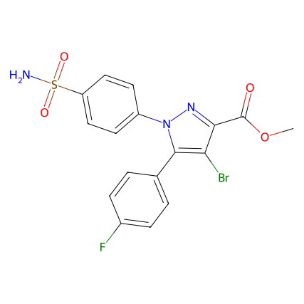 COC(=O)c1nn(-c2ccc(S(N)(=O)=O)cc2)c(-c2ccc(F)cc2)c1Br